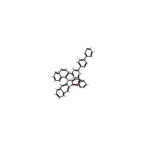 c1ccc(-c2ccc(-c3nc(-c4ccccc4)nc(-c4ccc5ccccc5c4-n4c5ccccc5c5cc6ccccc6cc54)n3)cc2)cc1